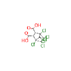 O=C(O)C1C(C(=O)O)C2(Cl)C(Cl)C(Cl)C1(Cl)C2(Cl)Cl